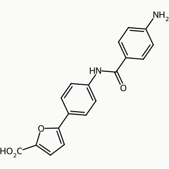 Nc1ccc(C(=O)Nc2ccc(-c3ccc(C(=O)O)o3)cc2)cc1